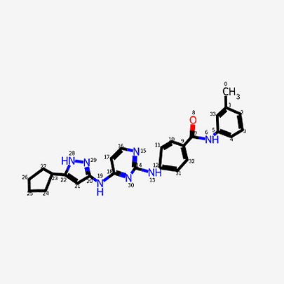 Cc1cccc(NC(=O)c2ccc(Nc3nccc(Nc4cc(C5CCCC5)[nH]n4)n3)cc2)c1